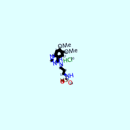 COc1cc2ncnc(NCCCN[SH](=O)=O)c2cc1OC.Cl